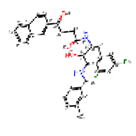 CCc1cccc(CNC[C@@H](O)[C@H](Cc2cc(F)cc(F)c2)NC(=O)CCC(=O)c2ccc3ccccc3c2)c1